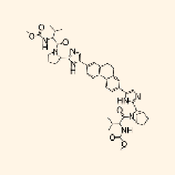 COC(=O)NC(C(=O)N1CCCC1c1ncc(-c2ccc3c(c2)CCc2cc(-c4cnc(C5C6CCC(C6)N5C(=O)C(NC(=O)OC)C(C)C)[nH]4)ccc2-3)[nH]1)C(C)C